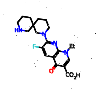 CCn1cc(C(=O)O)c(=O)c2cc(F)c(N3CCCC4(CCCNC4)C3)nc21